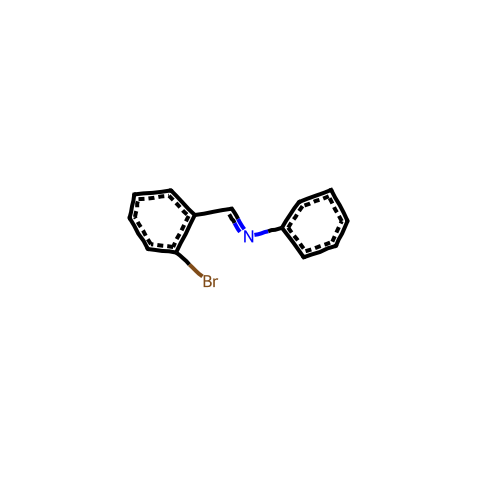 Brc1ccccc1C=Nc1ccccc1